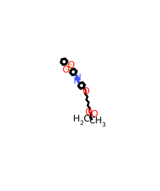 C=C(C)C(=O)OCCCCCCOc1ccc(N=Nc2ccc(S(=O)(=O)c3ccccc3)cc2)cc1